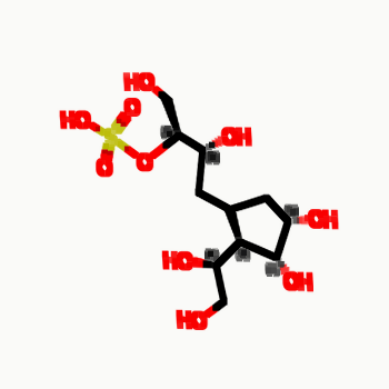 O=S(=O)(O)O[C@@H](CO)[C@H](O)CC1C[C@H](O)[C@H](O)[C@H]1[C@H](O)CO